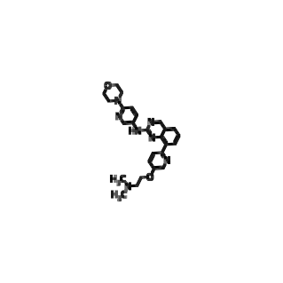 CN(C)CCOc1ccc(-c2cccc3cnc(Nc4ccc(N5CCOCC5)nc4)nc23)nc1